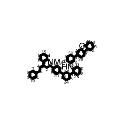 CNC(C/C(=C\Cc1ccccc1)c1ccccc1)c1ccc(C2CCC=C(c3ccccc3NC3=CC(C4=CCC5c6ccccc6OC5C4)CC=C3)C2)cc1